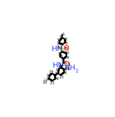 Cc1ccc(S(=N)(=O)c2ccc(C(=O)Nc3cc(-c4ccc(F)cc4)ccc3N)cc2)cc1